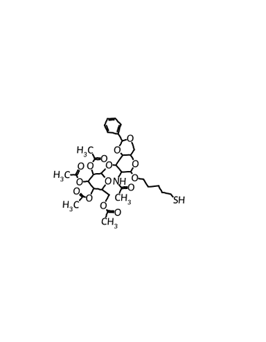 CC(=O)NC1C(OCCCCCS)OC2COC(c3ccccc3)OC2C1OC1OC(COC(C)=O)C(OC(C)=O)C(OC(C)=O)C1OC(C)=O